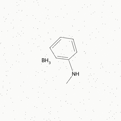 B.CNc1ccccc1